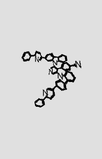 N#Cc1ccc(-c2c(-n3c4ccccc4c4ccc(-c5ccc(-c6ccccc6)nc5)cc43)cncc2-n2c3ccccc3c3ccc(-c4ccc(-c5ccccc5)nc4)cc32)cc1